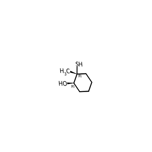 C[C@@]1(S)CCCC[C@H]1O